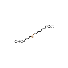 CCCCCCCCCCCCCCSCCCC[C]=O